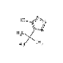 CC(C)(C)c1nsnc1O